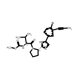 CC#Cc1cc(-c2cnc([C@@H]3CCCN3C(=O)[C@@H](NC(=O)OC)C(C)C)[nH]2)ccc1Br